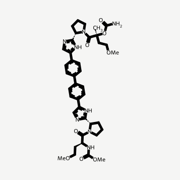 COCC[C@H](NC(=O)OC)C(=O)N1CCC[C@H]1c1ncc(-c2ccc(-c3ccc(-c4cnc([C@@H]5CCCN5C(=O)[C@](C)(CCOC)OC(N)=O)[nH]4)cc3)cc2)[nH]1